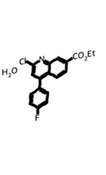 CCOC(=O)c1ccc2c(-c3ccc(F)cc3)cc(Cl)nc2c1.O